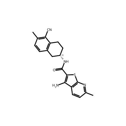 Cc1ccc2c(N)c(C(=O)N[C@H]3CCc4c(ccc(C)c4C#N)C3)sc2n1